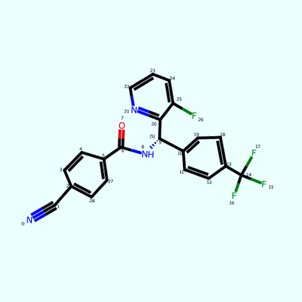 N#Cc1ccc(C(=O)N[C@@H](c2ccc(C(F)(F)F)cc2)c2ncccc2F)cc1